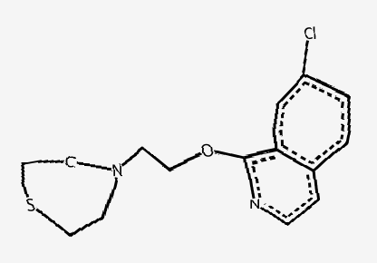 Clc1ccc2ccnc(OCCN3CCSCC3)c2c1